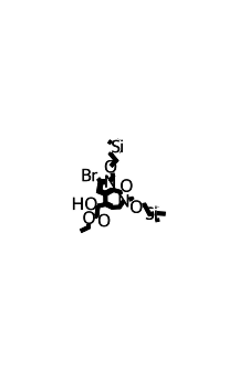 CCOC(=O)C(O)C1=CCN(COCC[Si](C)(C)C)C(=O)c2c1cc(Br)n2COCC[Si](C)(C)C